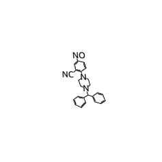 N#Cc1cc(N=O)ccc1N1CCN(C(c2ccccc2)c2ccccc2)CC1